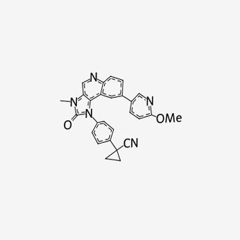 COc1ccc(-c2ccc3ncc4c(c3c2)n(-c2ccc(C3(C#N)CC3)cc2)c(=O)n4C)cn1